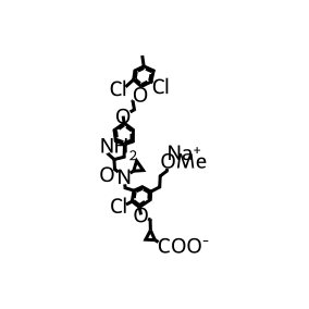 COCCCc1cc(CN(C(=O)C(CN)Cc2ccc(OCCOc3c(Cl)cc(C)cc3Cl)cc2)C2CC2)c(Cl)c(OCC2CC2C(=O)[O-])c1.[Na+]